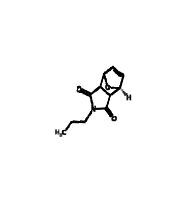 CCCN1C(=O)C2C3C=C[C@H](O3)C2C1=O